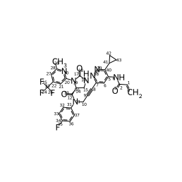 C=CC(=O)Nc1cc(C#CCN(C(=O)[C@@H]2CNC(=O)N2c2cc(C(F)(F)F)cc(C)n2)c2ccc(F)cc2)nnc1C1CC1